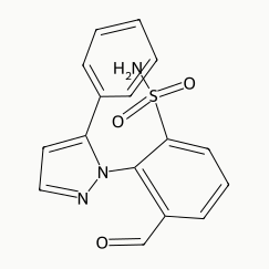 NS(=O)(=O)c1cccc(C=O)c1-n1nccc1-c1ccccc1